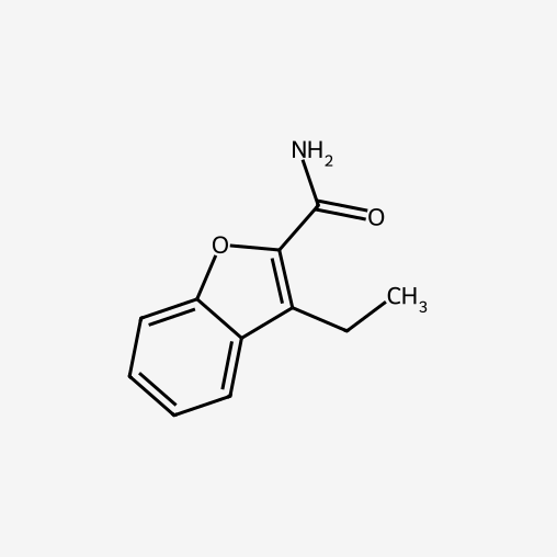 CCc1c(C(N)=O)oc2ccccc12